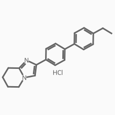 CCc1ccc(-c2ccc(-c3cn4c(n3)CCCC4)cc2)cc1.Cl